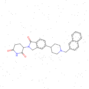 O=C1CCC(N2Cc3cc(C4CCN(Cc5ccc6ccccc6c5)CC4)ccc3C2=O)C(=O)N1